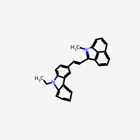 CCn1c2ccccc2c2cc(C=CC3=[N+](C)c4cccc5cccc3c45)ccc21